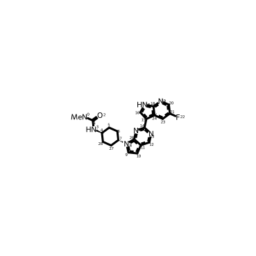 CNC(=O)N[C@H]1CC[C@H](n2ccc3cnc(-c4c[nH]c5ncc(F)cc45)nc32)CC1